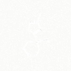 Cc1csc(C2(P)CCOCC2)n1